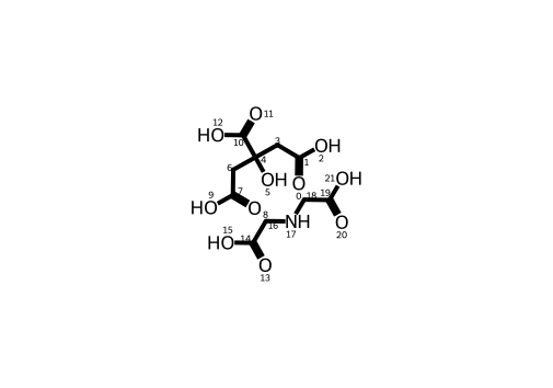 O=C(O)CC(O)(CC(=O)O)C(=O)O.O=C(O)CNCC(=O)O